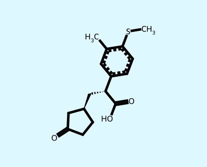 CSc1ccc([C@@H](C[C@H]2CCC(=O)C2)C(=O)O)cc1C